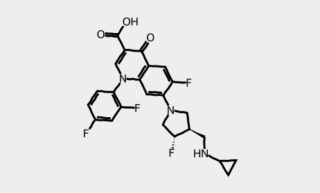 O=C(O)c1cn(-c2ccc(F)cc2F)c2cc(N3C[C@@H](CNC4CC4)[C@H](F)C3)c(F)cc2c1=O